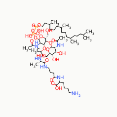 CC(=O)N[C@H]1[C@H](OC2[C@@H](CO)O[C@H](OP(=O)(O)OP(=O)(O)OCCC(C)CCCC(C)CCCC(C)CCCC(C)C)[C@H](NC(C)=O)[C@H]2O[C@H](C)C(=O)N[C@@H](C)C(=O)NCCCC(=O)N[C@@H](CCCCN)C(=O)O)O[C@H](CO)[C@@H](O)[C@@H]1O